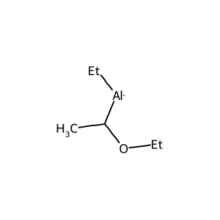 CCO[CH](C)[Al][CH2]C